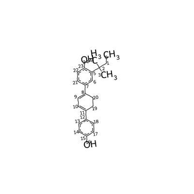 CCC(C)(C)c1cc(C2=CC=C(c3ccc(O)cc3)CC2)ccc1O